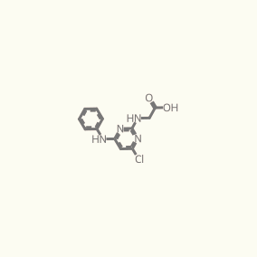 O=C(O)CNc1nc(Cl)cc(Nc2ccccc2)n1